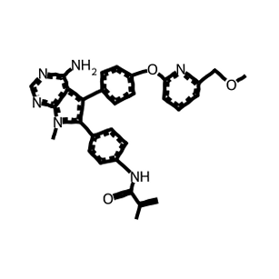 C=C(C)C(=O)Nc1ccc(-c2c(-c3ccc(Oc4cccc(COC)n4)cc3)c3c(N)ncnc3n2C)cc1